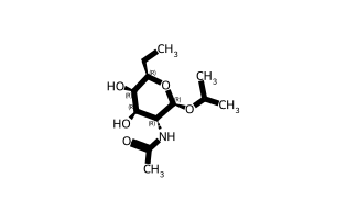 CC[C@H]1O[C@@H](OC(C)C)[C@H](NC(C)=O)[C@@H](O)[C@H]1O